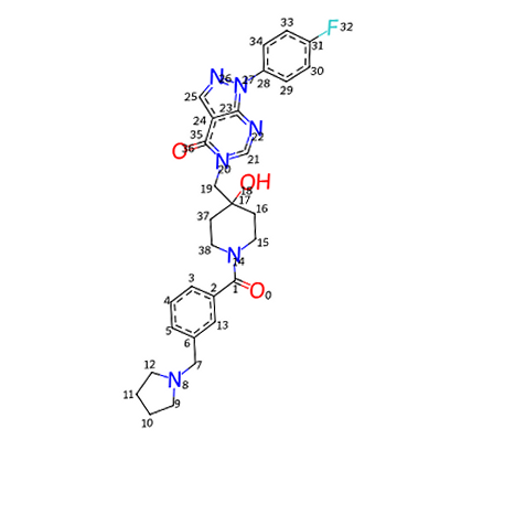 O=C(c1cccc(CN2CCCC2)c1)N1CCC(O)(Cn2cnc3c(cnn3-c3ccc(F)cc3)c2=O)CC1